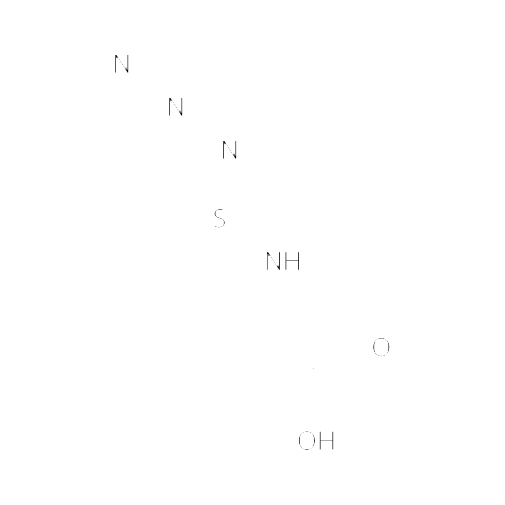 [N-]=[N+]=NSNCC(=O)O